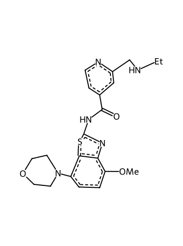 CCNCc1cc(C(=O)Nc2nc3c(OC)ccc(N4CCOCC4)c3s2)ccn1